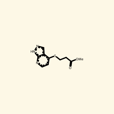 COC(=O)CCSc1ccnc2[nH]ncc12